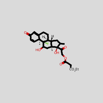 CCOC(=O)CC(=O)OCC(=O)[C@@]1(O)C(C)C[C@H]2[C@@H]3CCC4=CC(=O)C=C[C@]4(C)[C@@]3(F)C(O)C[C@@]21C